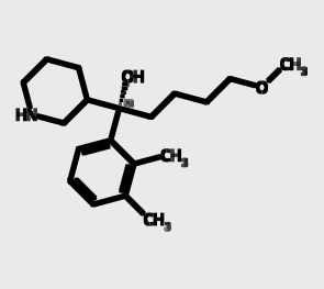 COCCCC[C@@](O)(c1cccc(C)c1C)C1CCCNC1